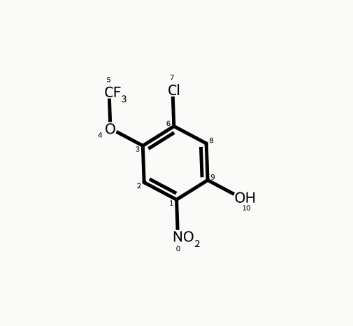 O=[N+]([O-])c1cc(OC(F)(F)F)c(Cl)cc1O